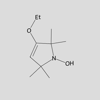 CCOC1=CC(C)(C)N(O)C1(C)C